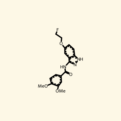 COc1ccc(C(=O)Nc2n[nH]c3ccc(OCCF)cc23)cc1OC